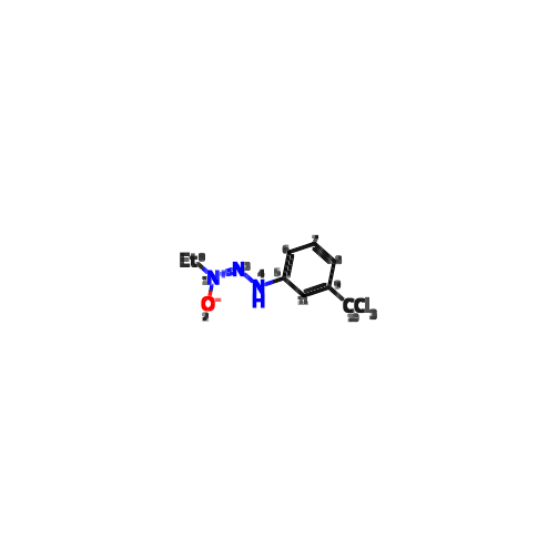 CC[N+]([O-])=NNc1cccc(C(Cl)(Cl)Cl)c1